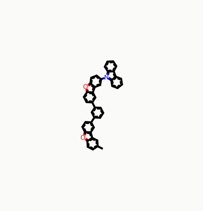 Cc1ccc2oc3ccc(-c4cccc(-c5ccc6oc7ccc(-n8c9ccccc9c9ccccc98)cc7c6c5)c4)cc3c2c1